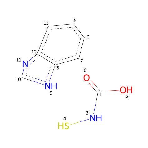 O=C(O)NS.c1ccc2[nH]cnc2c1